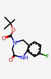 CC(C)(C)OC(=O)N1CC(=O)Nc2cc(F)ccc2C1